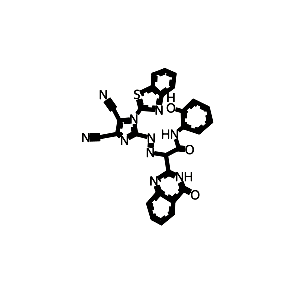 N#Cc1nc(N=NC(C(=O)Nc2ccccc2O)c2nc3ccccc3c(=O)[nH]2)n(-c2nc3ccccc3s2)c1C#N